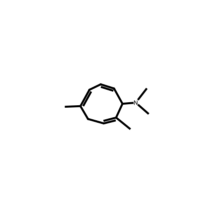 C/C1=C/C=CC(N(C)C)/C(C)=C\C1